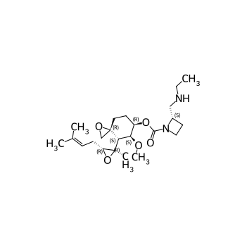 CCNC[C@@H]1CCN1C(=O)O[C@@H]1CC[C@]2(CO2)[C@@H]([C@@]2(C)O[C@@H]2CC=C(C)C)[C@@H]1OC